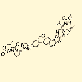 COC(=O)NC(C(=O)N1CCC[C@H]1c1ncc(-c2ccc3c(c2)COc2cc4c(ccc5nc([C@@H]6CC7C([C@@H]7C)N6C(=O)[C@@H](NC(=O)OC)C(C)C)[nH]c54)cc2-3)[nH]1)C(C)C